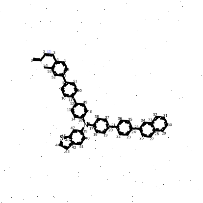 C=C/C=C\c1ccc(-c2ccc(-c3ccc(N(c4ccc(-c5ccc(-c6ccc7ccccc7c6)cc5)cc4)c4ccc5ccsc5c4)cc3)cc2)cc1C